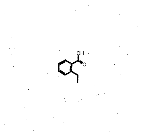 CCc1[c]cccc1C(=O)O